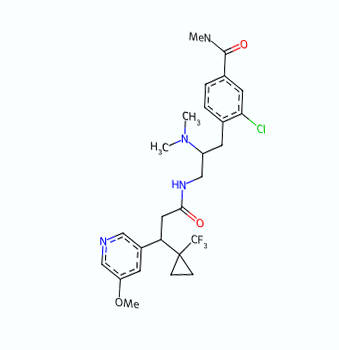 CNC(=O)c1ccc(CC(CNC(=O)CC(c2cncc(OC)c2)C2(C(F)(F)F)CC2)N(C)C)c(Cl)c1